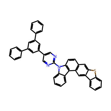 c1ccc(-c2cc(-c3ccccc3)cc(-c3cnc(-n4c5ccccc5c5c6cc7c(cc6ccc54)sc4ccccc47)nc3)c2)cc1